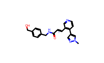 Cn1cc(-c2ccncc2/C=C/C(=O)NCc2ccc(CO)cc2)cn1